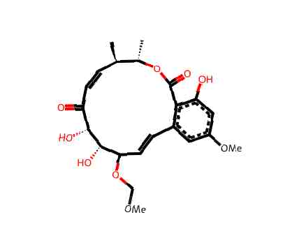 COCOC1/C=C/c2cc(OC)cc(O)c2C(=O)O[C@@H](C)[C@H](C)/C=C\C(=O)[C@@H](O)[C@H]1O